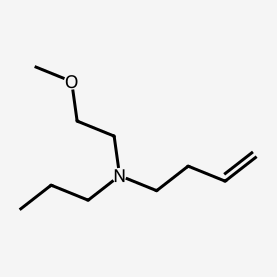 C=CCCN(CCC)CCOC